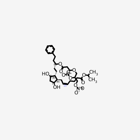 CC(C)OC(=O)CCC/C=C\C[C@@H]1[C@@H](CC[C@H](CCc2ccccc2)OC(=O)CCOCC(CO[N+](=O)[O-])O[N+](=O)[O-])[C@H](O)C[C@@H]1O